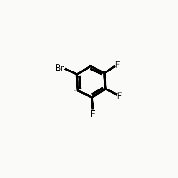 Fc1[c]c(Br)cc(F)c1F